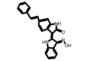 O=C1Nc2cc(/C=C/c3ccccc3)ccc2C1=C1Nc2ccccc2C1=NO